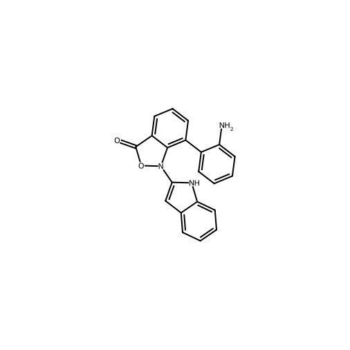 Nc1ccccc1-c1cccc2c(=O)on(-c3cc4ccccc4[nH]3)c12